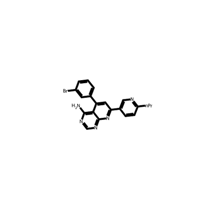 CCCc1ccc(-c2cc(-c3cccc(Br)c3)c3c(N)ncnc3n2)cn1